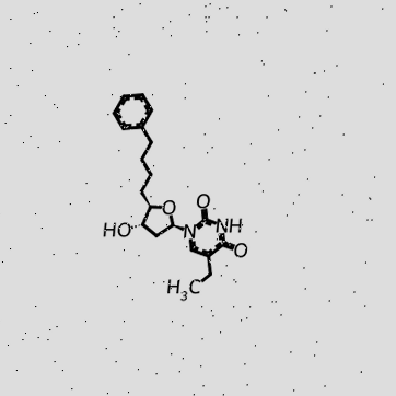 CCc1cn([C@H]2C[C@H](O)[C@@H](CCCCc3ccccc3)O2)c(=O)[nH]c1=O